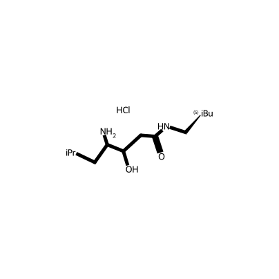 CC[C@H](C)CNC(=O)CC(O)C(N)CC(C)C.Cl